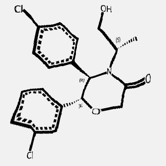 C[C@@H](CO)N1C(=O)CO[C@H](c2cccc(Cl)c2)[C@H]1c1ccc(Cl)cc1